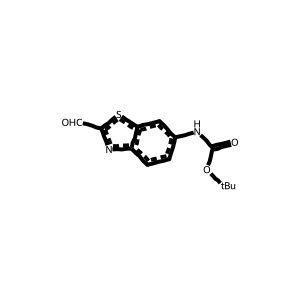 CC(C)(C)OC(=O)Nc1ccc2nc(C=O)sc2c1